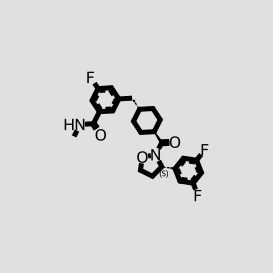 CNC(=O)c1cc(F)cc(C[C@H]2CC[C@H](C(=O)N3OCC[C@H]3c3cc(F)cc(F)c3)CC2)c1